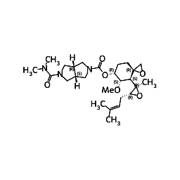 CO[C@@H]1[C@H](OC(=O)N2C[C@@H]3CN(C(=O)N(C)C)C[C@@H]3C2)CC[C@]2(CO2)[C@H]1[C@@]1(C)O[C@@H]1CC=C(C)C